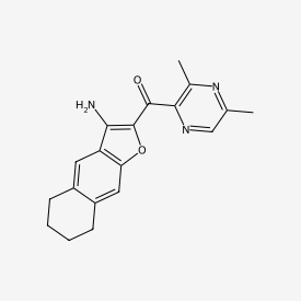 Cc1cnc(C(=O)c2oc3cc4c(cc3c2N)CCCC4)c(C)n1